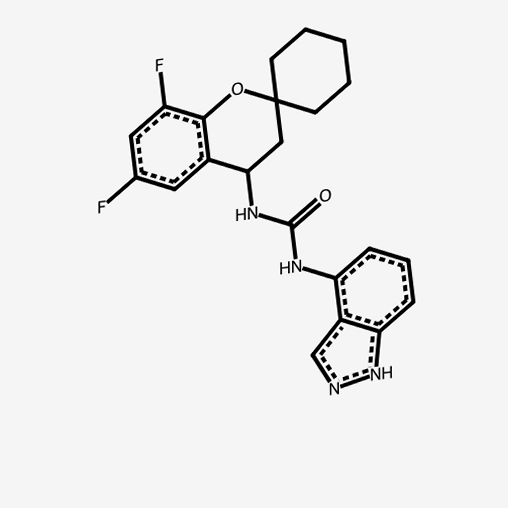 O=C(Nc1cccc2[nH]ncc12)NC1CC2(CCCCC2)Oc2c(F)cc(F)cc21